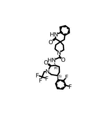 O=C(N[C@@H]1CC[C@@H](c2cccc(F)c2F)CN(CC(F)(F)F)C1=O)N1CCC2(CC1)Cc1ccccc1NC2=O